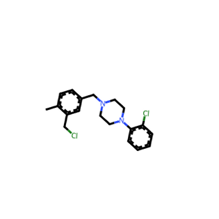 Cc1ccc(CN2CCN(c3ccccc3Cl)CC2)cc1CCl